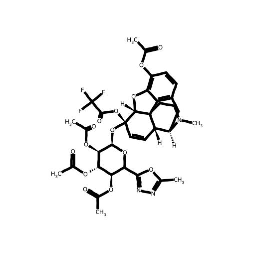 CC(=O)Oc1ccc2c3c1O[C@H]1[C@@](OC(=O)C(F)(F)F)(O[C@H]4OC(c5nnc(C)o5)[C@@H](OC(C)=O)[C@H](OC(C)=O)[C@H]4OC(C)=O)C=C[C@H]4[C@@H](C2)N(C)CC[C@@]341